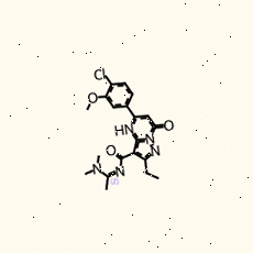 CCc1nn2c(=O)cc(-c3ccc(Cl)c(OC)c3)[nH]c2c1C(=O)/N=C(/C)N(C)C